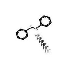 F.F.F.F.F.F.c1ccc(SSc2ccccc2)cc1